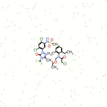 CCOCN(C(=O)CCl)c1c(C)cccc1CC.Cc1nn(-c2cc(NS(C)(=O)=O)c(Cl)cc2Cl)c(=O)n1C(F)F